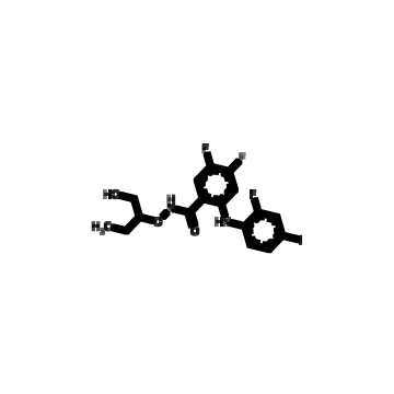 CCC(CO)ONC(=O)c1cc(F)c(F)cc1Nc1ccc(I)cc1F